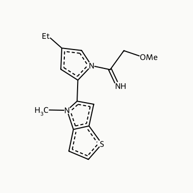 CCc1cc(-c2cc3sccc3n2C)n(C(=N)COC)c1